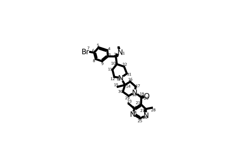 C/N=C(\c1ccc(Br)cc1)C1CCN(C2(C)CCN(C(=O)c3c(C)ncnc3C)CC2)CC1